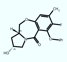 Cc1cc2c(c(OC(C)C)c1F)C(=O)N1C[C@H](O)C[C@@H]1CO2